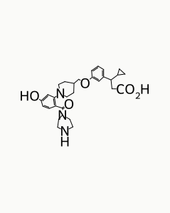 O=C(O)CC(c1cccc(OCC2CCN(c3cc(O)ccc3C(=O)N3CCNCC3)CC2)c1)C1CC1